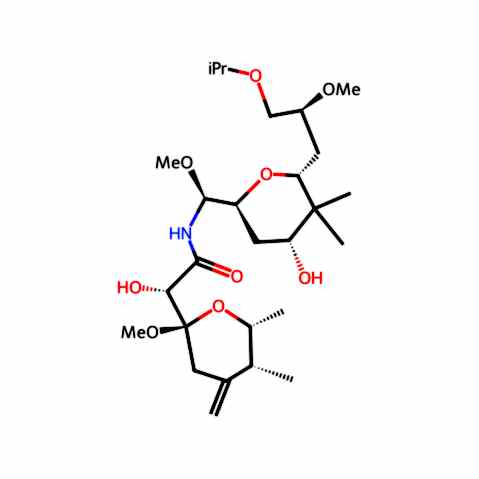 C=C1C[C@](OC)([C@H](O)C(=O)N[C@@H](OC)[C@@H]2C[C@@H](O)C(C)(C)[C@@H](C[C@@H](COC(C)C)OC)O2)O[C@H](C)[C@@H]1C